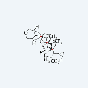 CC(C(=O)O)C(c1ccc2c(c1)OC(C1[C@@H]3COC[C@H]1CN(C(C)c1cc(F)ccc1C(F)(F)F)C3)CC2)C1CC1